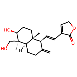 C=C1CC[C@@H]2[C@](C)(CC[C@H](O)[C@]2(C)CO)[C@H]1C=CC1=CCOC1=O